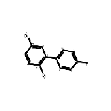 Cc1ccc(-c2cc(Br)ccc2Br)cc1